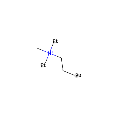 CCC(C)CC[N+](C)(CC)CC